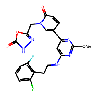 COc1nc(NCCc2c(F)cccc2Cl)cc(-c2ccc(=O)n(Cc3n[nH]c(=O)o3)c2)n1